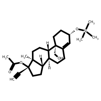 C#C[C@]1(OC(C)=O)CC[C@H]2[C@@H]3CCC4=C[C@@H](O[Si](C)(C)C)CC[C@]4(CO)[C@H]3CC[C@@]21C